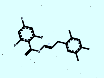 C=C(S/C=C/Cc1cc(C)c(C)cc1C)c1c(F)cc(F)cc1F